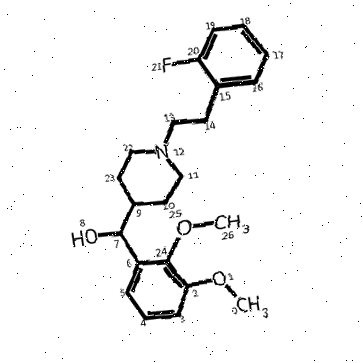 COc1cccc(C(O)C2CCN(CCc3ccccc3F)CC2)c1OC